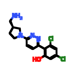 NC[C@@H]1CCN(c2ccc(-c3c(O)cc(Cl)cc3Cl)nn2)C1